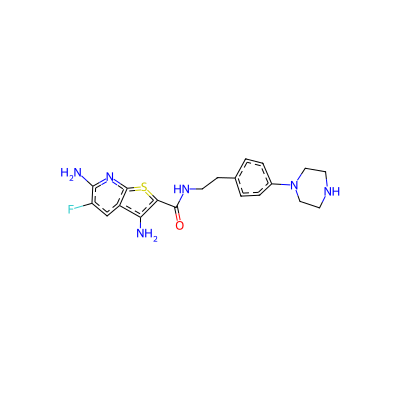 Nc1nc2sc(C(=O)NCCc3ccc(N4CCNCC4)cc3)c(N)c2cc1F